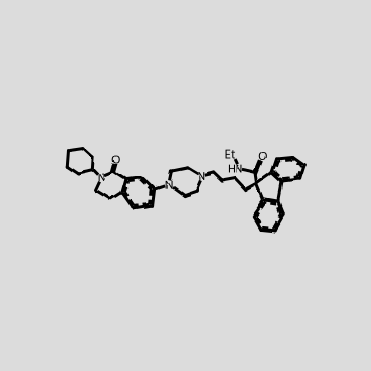 CCNC(=O)C1(CCCCN2CCN(c3ccc4c(c3)C(=O)N(C3CCCCC3)CC4)CC2)c2ccccc2-c2ccccc21